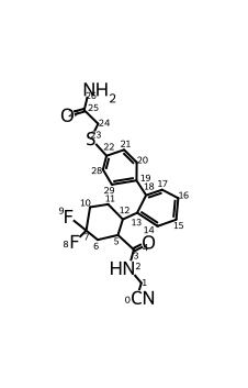 N#CCNC(=O)C1CC(F)(F)CCC1c1ccccc1-c1ccc(SCC(N)=O)cc1